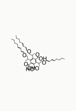 CCCCC=CC=COCC(C)c1c(C(=O)O)c(C(=O)O)c(C(C)COC=CC=CCCCC)c(C(C)COC=CC=CCCCC)c1C(=O)O